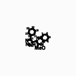 COc1nc2ccccc2nc1-c1[nH]nnc1-c1ccccc1